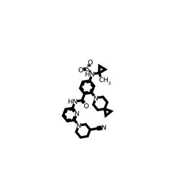 CC1(N(c2ccc(C(=O)Nc3cccc(N4CCCC(C#N)C4)n3)c(N3CCC4(CC3)CC4)c2)[SH](=O)=O)CC1